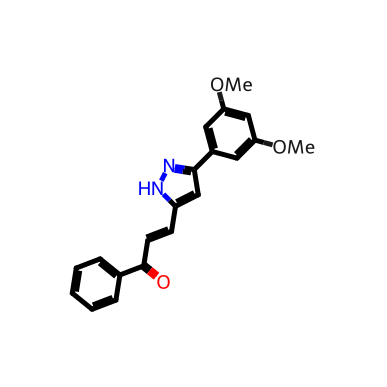 COc1cc(OC)cc(-c2cc(C=CC(=O)c3ccccc3)[nH]n2)c1